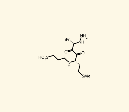 CSCC[C@H](NCCCS(=O)(=O)O)C(=O)C(=O)[C@@H](NN)C(C)C